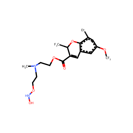 CCc1cc(OC(F)(F)F)cc2c1OC(C(F)(F)F)C(C(=O)OCCN(C)CCONO)=C2